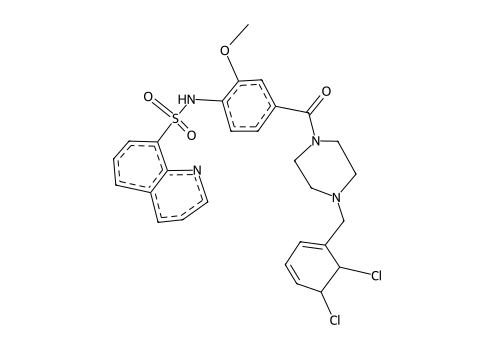 COc1cc(C(=O)N2CCN(CC3=CC=CC(Cl)C3Cl)CC2)ccc1NS(=O)(=O)c1cccc2cccnc12